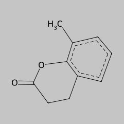 Cc1cccc2c1OC(=O)CC2